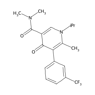 Cc1c(-c2cccc(C(F)(F)F)c2)c(=O)c(C(=O)N(C)C)cn1C(C)C